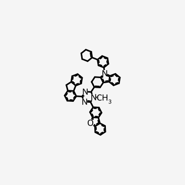 CN1C(c2ccc3c(c2)oc2ccccc23)=NC(c2cccc3c2-c2ccccc2C3)=NC1C1=Cc2c(n(-c3cccc(C4=CCCCC4)c3)c3ccccc23)CC1